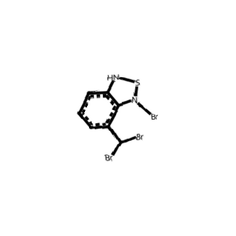 BrC(Br)c1cccc2c1N(Br)SN2